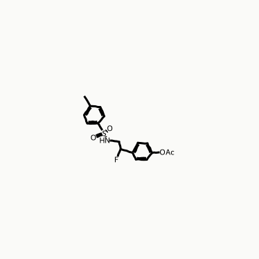 CC(=O)Oc1ccc(C(F)CNS(=O)(=O)c2ccc(C)cc2)cc1